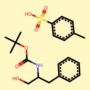 CC(C)(C)OC(=O)NC(CO)Cc1ccccc1.Cc1ccc(S(=O)(=O)O)cc1